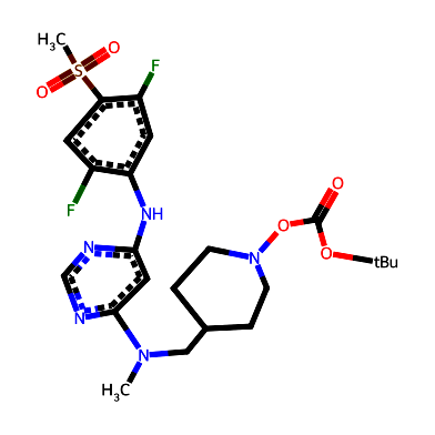 CN(CC1CCN(OC(=O)OC(C)(C)C)CC1)c1cc(Nc2cc(F)c(S(C)(=O)=O)cc2F)ncn1